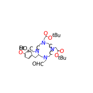 CCOc1ccc(CC2CN(CC=O)CCN(CC(=O)OC(C)(C)C)CCN(CC(=O)OC(C)(C)C)CCN2CC(=O)O)cc1